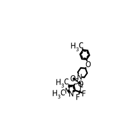 Cc1ccc(OC2CCN(S(=O)(=O)c3c(C(F)(F)F)nn(C)c3C)CC2)cc1